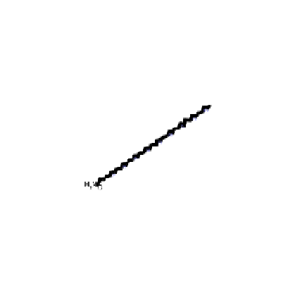 C/C=C/CC/C=C/CC/C=C/CC/C=C/CC/C=C/CC/C=C/CC/C=C/CC/C=C/CC/C=C/CCCCC(N)=O